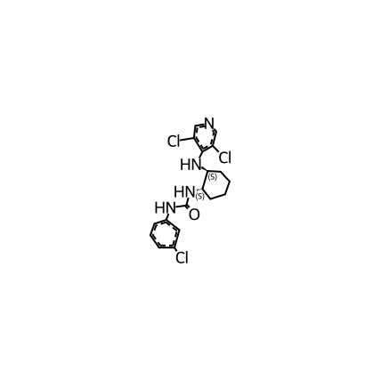 O=C(Nc1cccc(Cl)c1)N[C@H]1CCCC[C@@H]1Nc1c(Cl)cncc1Cl